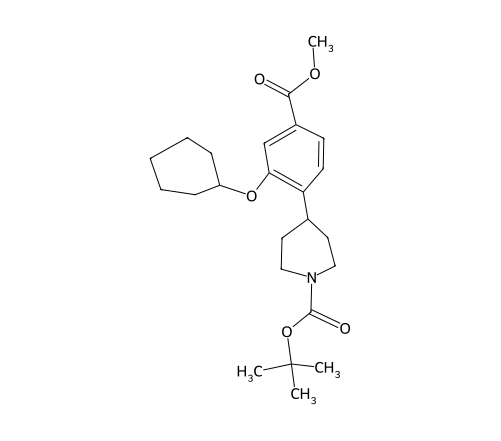 COC(=O)c1ccc(C2CCN(C(=O)OC(C)(C)C)CC2)c(OC2CCCCC2)c1